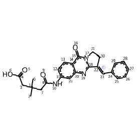 CC(C)(CC(=O)O)CC(=O)Nc1ccc2c(=O)n3c(nc2c1)/C(=C/c1ccccc1)CC3